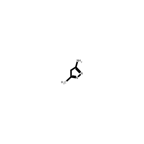 CC1=NN=C(N)C1